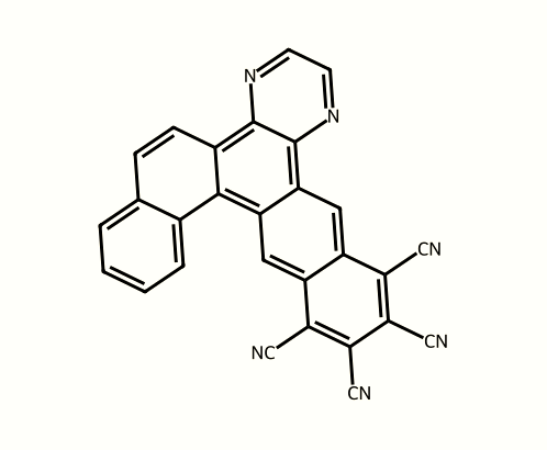 N#Cc1c(C#N)c(C#N)c2cc3c(cc2c1C#N)c1nccnc1c1ccc2ccccc2c31